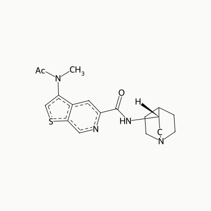 CC(=O)N(C)c1csc2cnc(C(=O)N[C@H]3CN4CCC3CC4)cc12